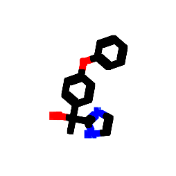 CC(O)(c1ccc(Oc2ccccc2)cc1)c1ncc[nH]1